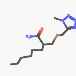 CCCCCCC(CSCc1nnnn1C)C(N)=O